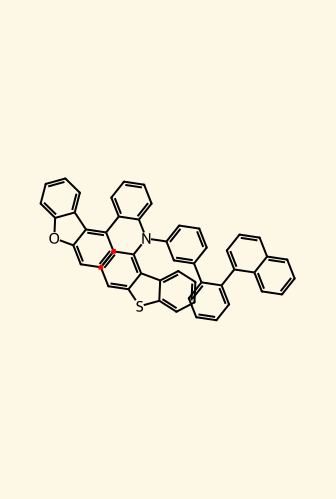 c1cc(-c2ccccc2-c2cccc3ccccc23)cc(N(c2ccccc2-c2cccc3oc4ccccc4c23)c2cccc3sc4ccccc4c23)c1